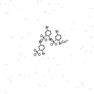 O=S(=O)([O-])c1cc(Br)ccc1Br.O=S(=O)([O-])c1cc(Br)ccc1Br.O=S(=O)([O-])c1cc(Br)ccc1Br.[Ga+3]